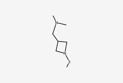 CSN1CC(CN(C)C)C1